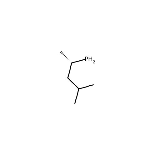 CC(C)C[C@H](C)P